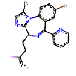 C=C(I)CC[C@@H]1N=C(c2ccccn2)c2cc(Br)ccc2-n2c(CC)cnc21